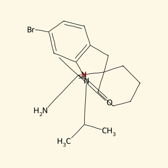 CC(C)N1C(=O)C2(N=C1N)c1cc(Br)ccc1CC21CCCCC1